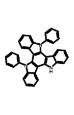 c1ccc(-n2c3ccccc3c3c4[nH]c5ccccc5c4c4c(c5ccccc5n4-c4ccccc4)c32)cc1